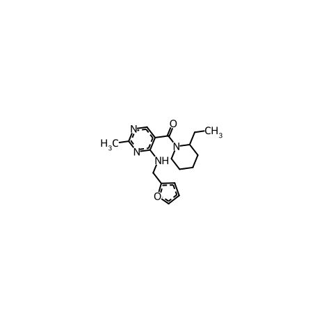 CCC1CCCCN1C(=O)c1cnc(C)nc1NCc1ccco1